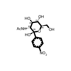 CC(=O)N[C@@H]1[C@@H](O)[C@H](O)[C@@H](CO)O[C@]1(O)c1ccc([N+](=O)[O-])cc1